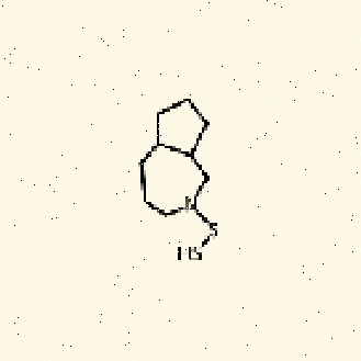 SSN1CCCC2CCCC2C1